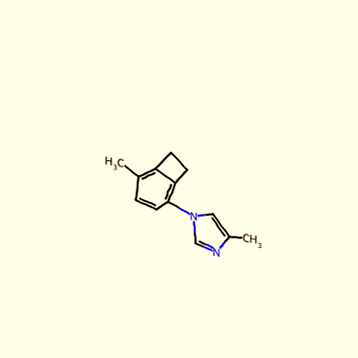 Cc1cn(-c2ccc(C)c3c2CC3)cn1